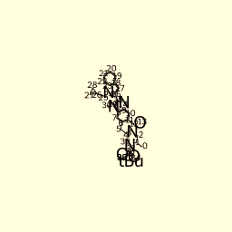 C[C@H](CN1CCc2cc3c(cc2C1=O)nc(-c1cc2ccccc2n1CC1CC1)n3C)N(C)C(=O)OC(C)(C)C